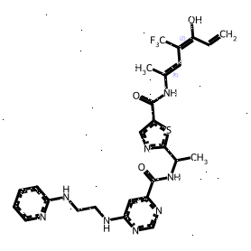 C=C/C(O)=C(\C=C(/C)NC(=O)c1cnc(C(C)NC(=O)c2cc(NCCNc3ccccn3)ncn2)s1)C(F)(F)F